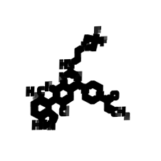 C=CC(=O)N1CCN(c2nc(NCCN3CC(F)(F)C3)nc3c(F)c(-c4c(C)ccc5[nH]ncc45)c(Cl)cc23)CC1